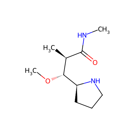 CNC(=O)[C@H](C)[C@@H](OC)[C@@H]1CCCN1